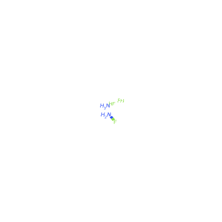 F.F.N.NF